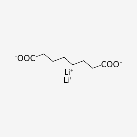 O=C([O-])CCCCCCC(=O)[O-].[Li+].[Li+]